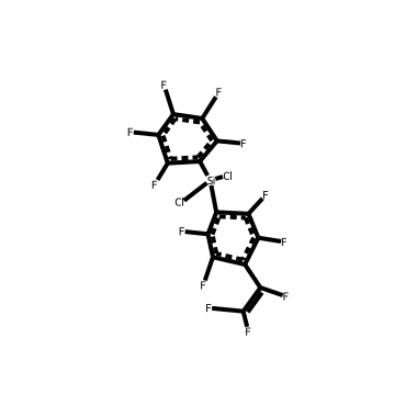 FC(F)=C(F)c1c(F)c(F)c([Si](Cl)(Cl)c2c(F)c(F)c(F)c(F)c2F)c(F)c1F